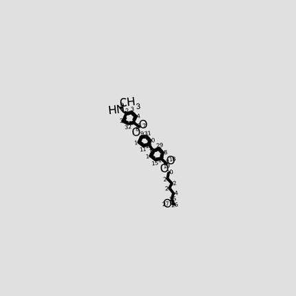 CNc1ccc(C(=O)Oc2ccc(-c3ccc(C(=O)OCCCCCC4CO4)cc3)cc2)cc1